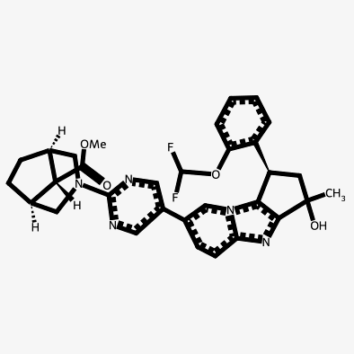 COC(=O)[C@@H]1[C@@H]2CC[C@H]1CN(c1ncc(-c3ccc4nc5c(n4c3)[C@@H](c3ccccc3OC(F)F)CC5(C)O)cn1)C2